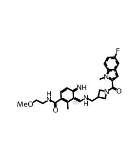 COCCNC(=O)C1=C(C)/C(=C/NCC2CN(C(=O)c3cc4cc(F)ccc4n3C)C2)C(=N)C=C1